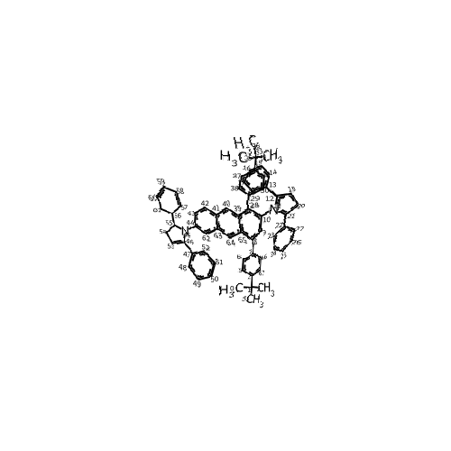 CC(C)(C)c1ccc(-c2cc(-n3c(-c4ccccc4)ccc3-c3ccccc3)c(-c3ccc(C(C)(C)C)cc3)c3cc4ccc(N5C(c6ccccc6)=CCC5C5C=CC=CC5)cc4cc23)cc1